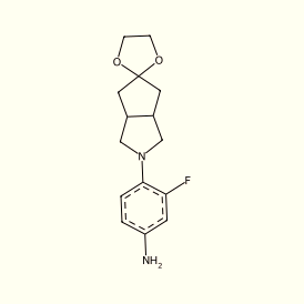 Nc1ccc(N2CC3CC4(CC3C2)OCCO4)c(F)c1